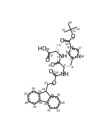 C[C@H](NC(=O)[C@H](Cc1cn(C(=O)OC(C)(C)C)cn1)NC(=O)OCC1c2ccccc2-c2ccccc21)C(=O)O